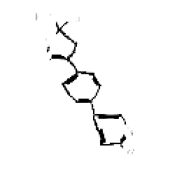 N#Cc1ccc(-c2ccc(C3=NOC(O)(C(F)(F)F)C3)cc2)cn1